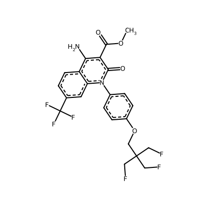 COC(=O)c1c(N)c2ccc(C(F)(F)F)cc2n(-c2ccc(OCC(CF)(CF)CF)cc2)c1=O